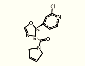 O=C([C@@H]1N=CO[C@H]1c1ccnc(Cl)c1)N1CC=CC1